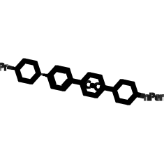 CCCCCC1CCC(C23CCC(c4ccc([C@H]5CC[C@H](CCC)CC5)cc4)(CC2)CC3)CC1